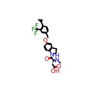 CN[C@H](CC(=O)O)C(=O)N1CCc2cc(OCc3ccc(C4CC4)c(C(F)(F)F)c3)ccc21